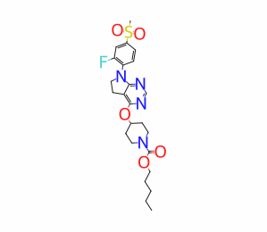 CCCCCOC(=O)N1CCC(Oc2ncnc3c2CCN3c2ccc(S(C)(=O)=O)cc2F)CC1